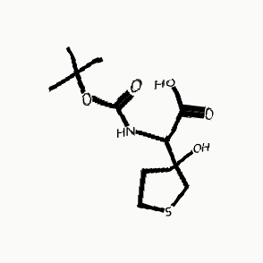 CC(C)(C)OC(=O)NC(C(=O)O)C1(O)CCSC1